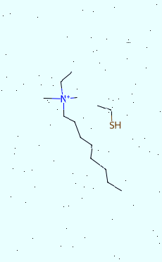 CCCCCCCC[N+](C)(C)CC.CCS